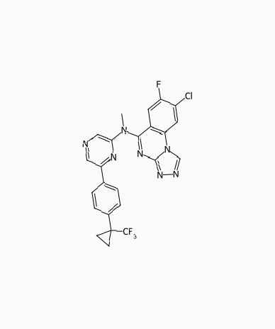 CN(c1cncc(-c2ccc(C3(C(F)(F)F)CC3)cc2)n1)c1nc2nncn2c2cc(Cl)c(F)cc12